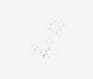 c1ccc(-c2ccccc2N(c2ccc(-c3ccc4c(c3)C(c3ccccc3)(c3ccccc3)c3ccccc3-4)cc2)c2cccc(-c3cccc4ccccc34)c2)cc1